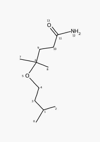 CC(C)CCOC(C)(C)CCC(N)=O